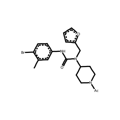 CC(=O)N1CCC(N(Cc2ccco2)C(=O)Nc2ccc(Br)c(C)c2)CC1